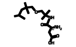 CC(C)CC(C)(C)COCC(C)(C)NC(=O)[C@@H](N)CC(=O)O